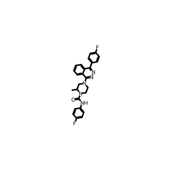 CC1CN(c2nnc(-c3ccc(F)cc3)c3ccccc23)CCN1C(=O)Nc1ccc(F)cc1